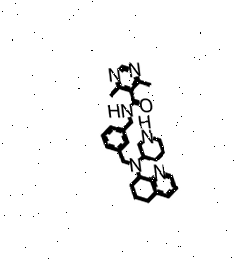 Cc1ncnc(C)c1C(=O)NCc1cccc(CN(C2CCCNC2)C2CCCc3cccnc32)c1